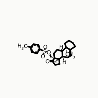 Cc1ccc(S(=O)(=O)OC[C@]23CC[C@H]4[C@@H](CC=C5CCCC[C@@]54C)[C@@H]2CCC3=O)cc1